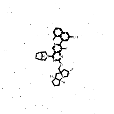 Cc1cccc2cc(O)cc(-c3ncc4c(N5CC6CCC(C5)N6)nc(OCC56C[C@H](F)CN5[C@H]5CCC[C@H]5C6)nc4c3F)c12